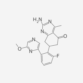 COc1cncc(-c2cccc(F)c2C2CC(=O)c3c(C)nc(N)nc3C2)n1